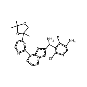 CC1(C)OCC(C)(c2ccnc(-c3cccc4cc(C(N)c5c(Cl)ncc(N)c5F)sc34)c2)O1